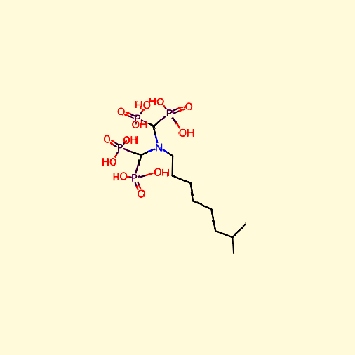 CC(C)CCCCCCN(C(P(=O)(O)O)P(=O)(O)O)C(P(=O)(O)O)P(=O)(O)O